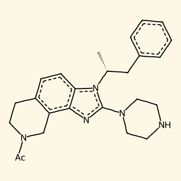 CC(=O)N1CCc2ccc3c(nc(N4CCNCC4)n3[C@H](C)Cc3ccccc3)c2C1